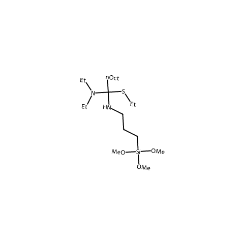 CCCCCCCCC(NCCC[Si](OC)(OC)OC)(SCC)N(CC)CC